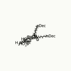 CCCCCCCCCCCCCCCCCC(=O)OCC(COC1O[C@H](CS(=O)(=O)O)[C@@H](OC(=O)CCN)[C@H](O)[C@H]1O)OC(=O)CCCCCCCCCCCCCCCCC